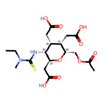 CCN(C)C(=S)N[C@@H]1[C@H](CC(=O)O)[C@H](CC(=O)O)[C@H](COC(C)=O)O[C@H]1CC(=O)O